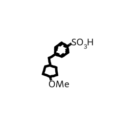 COC1CCC(Cc2ccc(S(=O)(=O)O)cc2)CC1